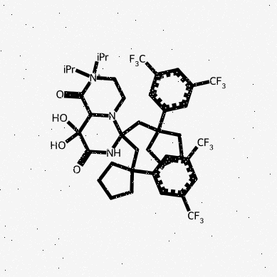 CC(C)[N+]1(C(C)C)CCN2C(C1=O)C(O)(O)C(=O)NC2(CC1(c2cc(C(F)(F)F)cc(C(F)(F)F)c2)CCCC1)CC1(c2cc(C(F)(F)F)cc(C(F)(F)F)c2)CCCC1